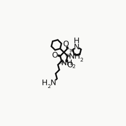 NCCCC[C@H](N)C(=O)C(C(=O)[C@H]1CCCN1)(C1CCCCC1)[C@@H](N)C=O